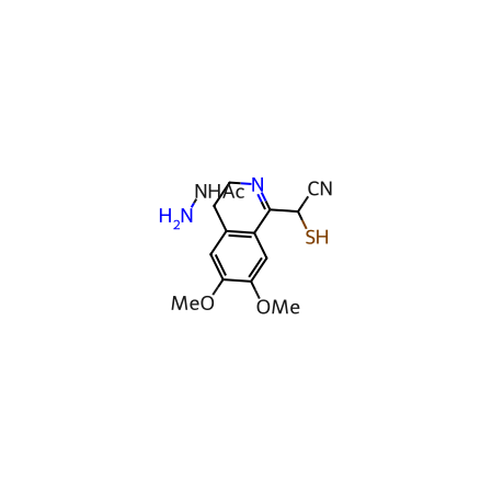 CC(=O)NN.COc1cc2c(cc1OC)C(C(S)C#N)=NCC2